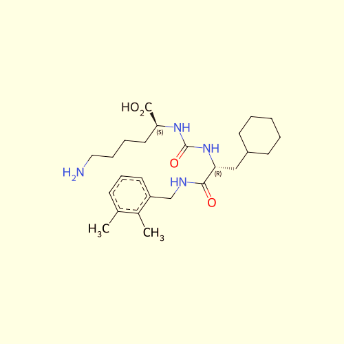 Cc1cccc(CNC(=O)[C@@H](CC2CCCCC2)NC(=O)N[C@@H](CCCCN)C(=O)O)c1C